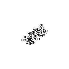 COC1C(C(=O)O)OC(OC2C(O)C(CO)OC(OC3C(C(=O)O)OC(OC4C(O)C(CO)O[C@H](C)C4NC(C)=O)C(O)C3O)C2NC(C)=O)C(O)C1O